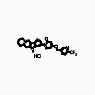 Cl.Cn1c2c(c3ccc(-n4ccc(OCc5ccc(C(F)(F)F)nc5)cc4=O)cc31)CN1CCCCC1C2